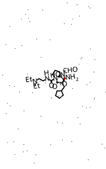 CCN(CC)CCNC(=O)[N+]1(C(=O)[C@H](CC2CCCC2)CN(O)C=O)CCC[C@H]1C(N)=O